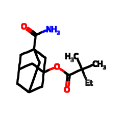 CCC(C)(C)C(=O)OC12CC3CC(C1)CC(C(N)=O)(C3)C2